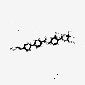 C=CCc1cnc(-c2ccc(C(=O)Oc3ccc(C(=O)OC(=C)C(F)(F)F)c(F)c3)cc2)nc1